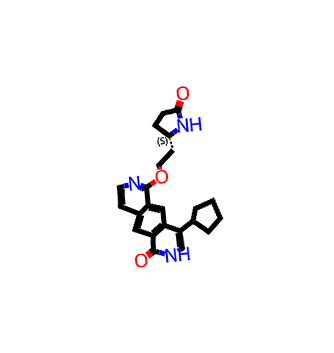 O=C1CC[C@@H](CCOc2nccc3cc4c(=O)[nH]cc(C5CCCC5)c4cc23)N1